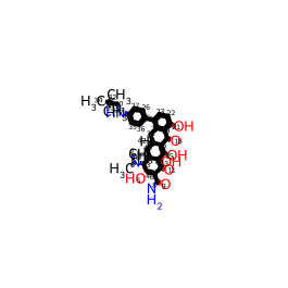 CN(C)C1C(O)=C(C(N)=O)C(=O)[C@@]2(O)C(O)=C3C(=O)c4c(O)ccc(-c5ccc(NCC(C)(C)C)cc5)c4C[C@H]3C[C@H]12